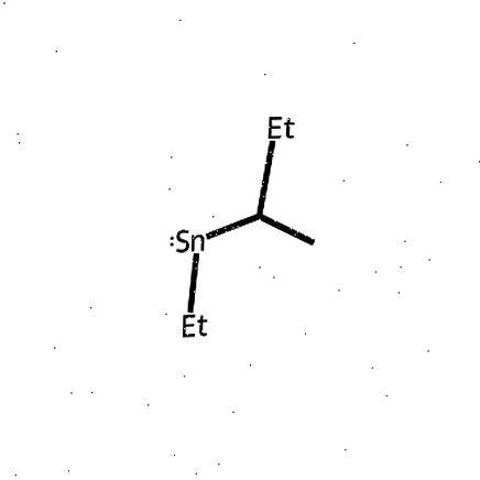 [CH2][CH2][Sn][CH](C)CC